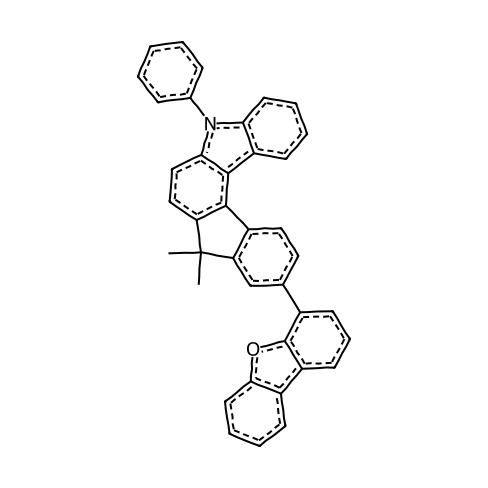 CC1(C)c2cc(-c3cccc4c3oc3ccccc34)ccc2-c2c1ccc1c2c2ccccc2n1-c1ccccc1